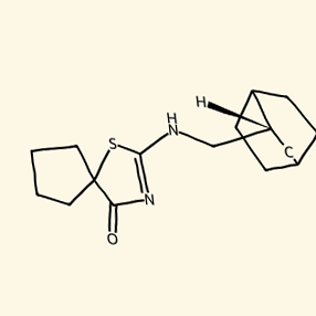 O=C1N=C(NC[C@H]2CC3CCC2CC3)SC12CCCC2